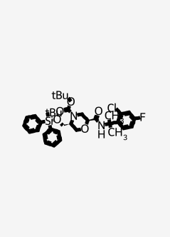 CC(C)(C)OC(=O)N1C[C@@H](C(=O)NC(C)(C)c2ccc(F)cc2Cl)OC[C@@H]1CO[Si](c1ccccc1)(c1ccccc1)C(C)(C)C